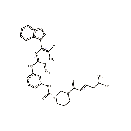 C=N/C(=N\C(=C(/C)Cl)c1c[nH]c2ccccc12)Nc1cccc(NC(=O)[C@H]2CCCN(C(=O)/C=C/CN(C)C)C2)c1